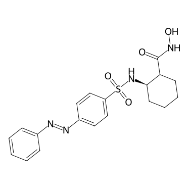 O=C(NO)C1CCCC[C@H]1NS(=O)(=O)c1ccc(N=Nc2ccccc2)cc1